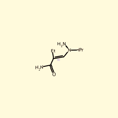 CC/C(=C\N(N)C(C)C)C(N)=O